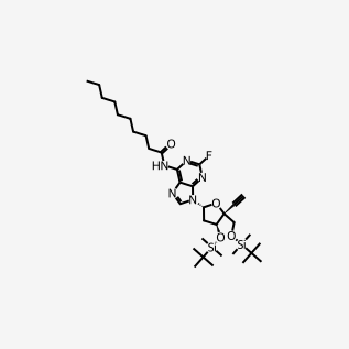 C#C[C@]1(CO[Si](C)(C)C(C)(C)C)O[C@@H](n2cnc3c(NC(=O)CCCCCCCCC)nc(F)nc32)C[C@@H]1O[Si](C)(C)C(C)(C)C